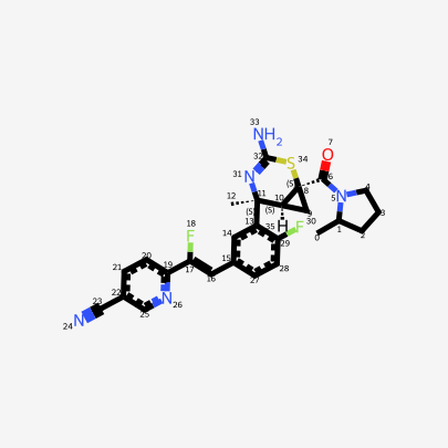 CC1CCCN1C(=O)[C@]12C[C@H]1[C@@](C)(c1cc(C=C(F)c3ccc(C#N)cn3)ccc1F)N=C(N)S2